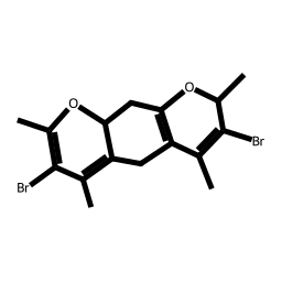 CC1=C(Br)C(C)=C2CC3=C(CC2O1)OC(C)C(Br)=C3C